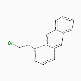 BrCCc1cccc2cc3ccccc3cc12